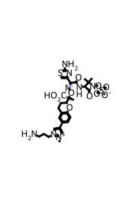 C[n+]1cc(-c2ccc3c(c2)CCC([C@](C)(O/N=C(\C(=O)NC2C(=O)N(OS(=O)(=O)[O-])C2(C)C)c2csc(N)n2)C(=O)O)O3)cn1CCCN